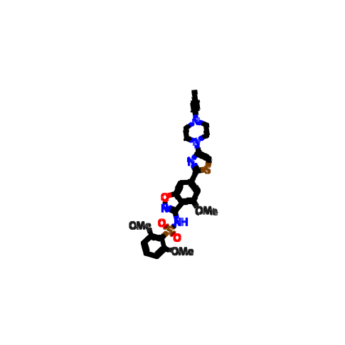 CC#CN1CCN(c2csc(-c3cc(OC)c4c(NS(=O)(=O)c5c(OC)cccc5OC)noc4c3)n2)CC1